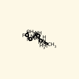 CC(C)CC(=O)Nc1cncc(-c2ccc3[nH]nc(-c4nc5c(-c6cc(O)cc(F)c6)nccc5[nH]4)c3n2)c1